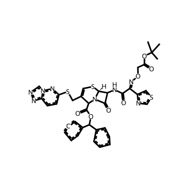 CC(C)(C)OC(=O)CON=C(C(=O)NC1C(=O)N2C(C(=O)OC(c3ccccc3)c3ccccc3)C(CSc3ccc4nncn4n3)=CS[C@@H]12)c1cscn1